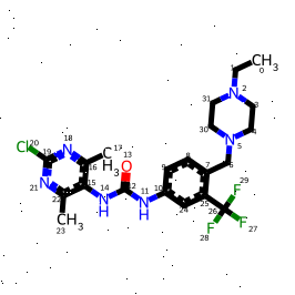 CCN1CCN(Cc2ccc(NC(=O)Nc3c(C)nc(Cl)nc3C)cc2C(F)(F)F)CC1